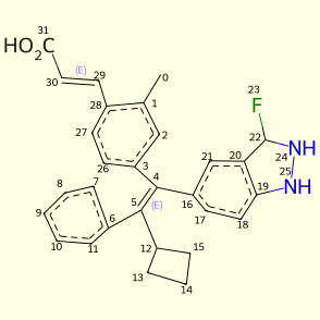 Cc1cc(/C(=C(\c2ccccc2)C2CCC2)c2ccc3c(c2)C(F)NN3)ccc1/C=C/C(=O)O